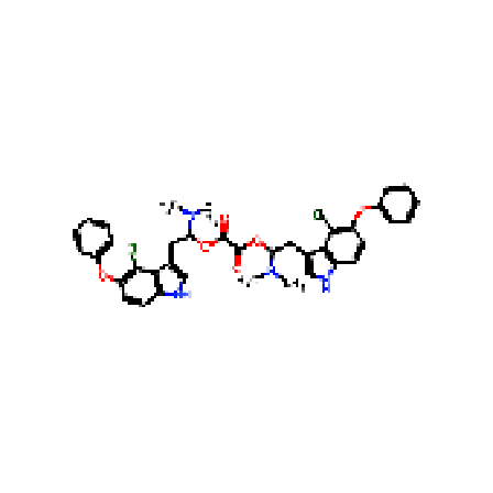 CN(C)C(Cc1c[nH]c2ccc(Oc3ccccc3)c(Cl)c12)OC(=O)C(=O)OC(Cc1c[nH]c2ccc(Oc3ccccc3)c(Cl)c12)N(C)C